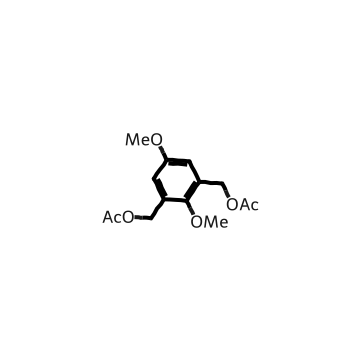 COc1cc(COC(C)=O)c(OC)c(COC(C)=O)c1